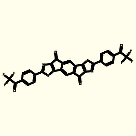 O=C(c1ccc(-c2nc3c(=O)c4cc5c(cc4c3s2)c(=O)c2nc(-c3ccc(C(=O)C(F)(F)F)cc3)sc25)cc1)C(F)(F)F